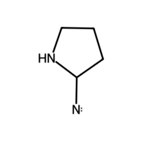 [N]C1CCCN1